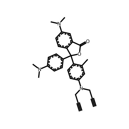 C#CCN(CC#C)c1ccc(C2(c3ccc(N(C)C)cc3)OC(=O)c3cc(N(C)C)ccc32)c(C)c1